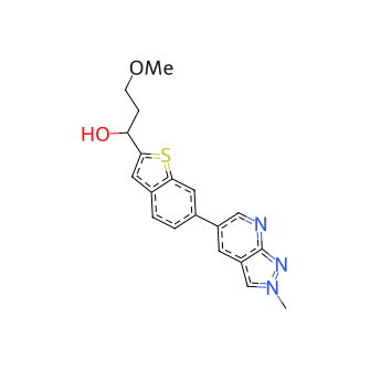 COCCC(O)c1cc2ccc(-c3cnc4nn(C)cc4c3)cc2s1